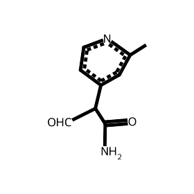 Cc1cc(C(C=O)C(N)=O)ccn1